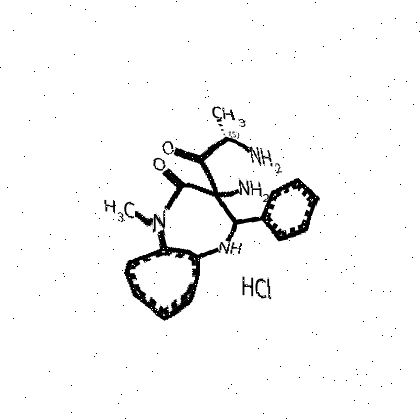 C[C@H](N)C(=O)C1(N)C(=O)N(C)c2ccccc2NC1c1ccccc1.Cl